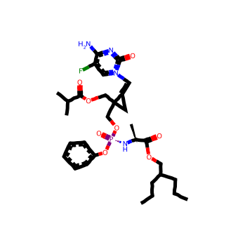 CCCC(CCC)COC(=O)[C@H](C)N[P@](=O)(OCC1(COC(=O)C(C)C)C/C1=C/n1cc(F)c(N)nc1=O)Oc1ccccc1